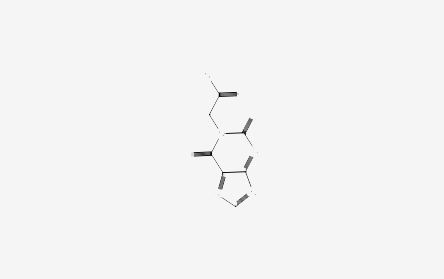 NC(=O)CN1C(=O)N=C2N=CN=C2C1=O